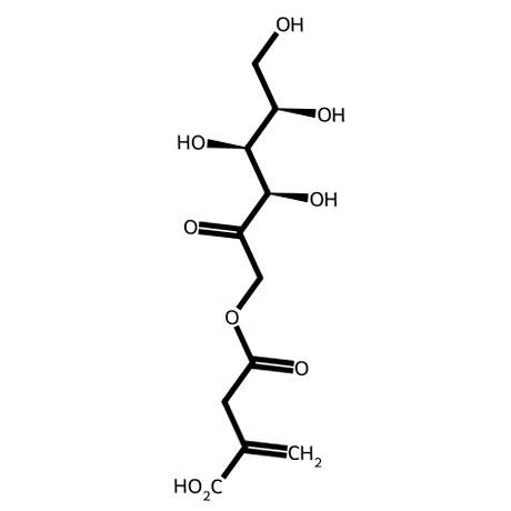 C=C(CC(=O)OCC(=O)[C@H](O)[C@@H](O)[C@H](O)CO)C(=O)O